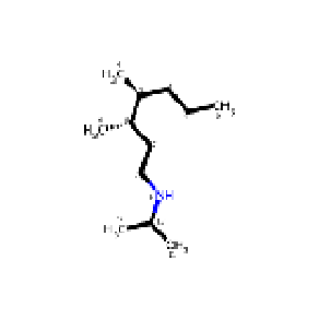 CCC[C@H](C)[C@@H](C)CCNC(C)C